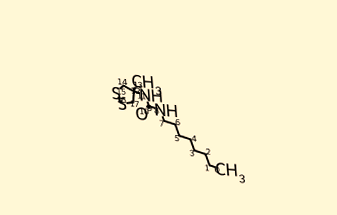 CCCCCCCCNC(=O)NC1(C)CSSC1